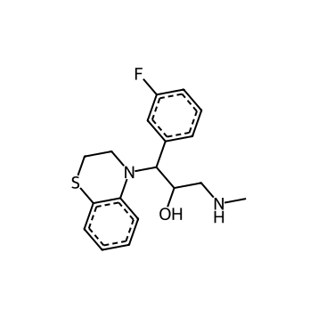 CNCC(O)C(c1cccc(F)c1)N1CCSc2ccccc21